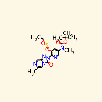 CCOSOc1cc(N(C)C(=O)OC(C)(C)C)cnc1-n1nc2cnc(C)cn2c1=O